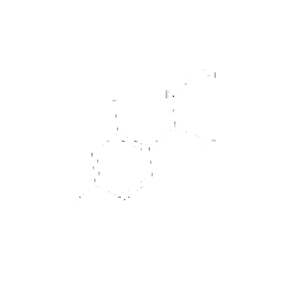 CC(C)(C)NC(c1ccc(Br)cc1F)C(F)(F)F